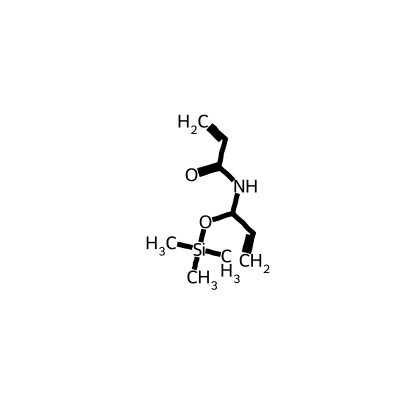 C=CC(=O)NC(C=C)O[Si](C)(C)C